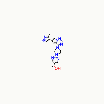 Cc1nn(C)cc1-c1cc2c(N3CCN(c4ncc(C(C)O)cn4)CC3)ncnn2c1